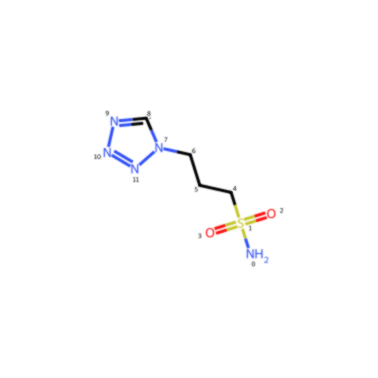 NS(=O)(=O)CCCn1[c]nnn1